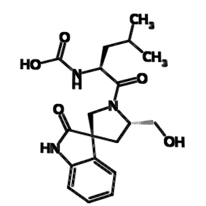 CC(C)C[C@H](NC(=O)O)C(=O)N1C[C@]2(C[C@H]1CO)C(=O)Nc1ccccc12